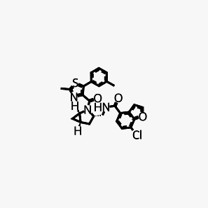 Cc1cccc(-c2sc(C)nc2C(=O)N2[C@H](CNC(=O)c3ccc(Cl)c4occc34)C[C@@H]3C[C@@H]32)c1